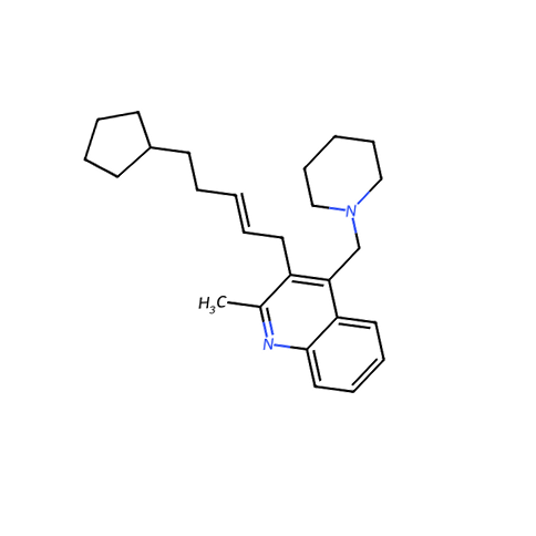 Cc1nc2ccccc2c(CN2CCCCC2)c1C/C=C/CCC1CCCC1